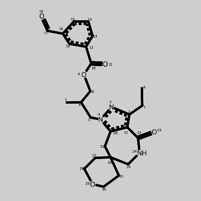 CCc1nn(CC(C)COC(=O)c2cccc(C=O)c2)c2c1C(=O)NCC1(CCOCC1)C2